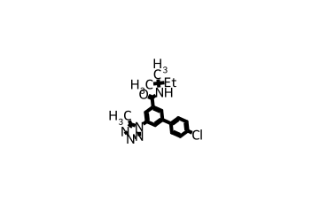 CCC(C)(C)NC(=O)c1cc(-c2ccc(Cl)cc2)cc(-n2nnnc2C)c1